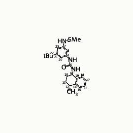 CSNc1cc(NC(=O)NC2CC[C@@H](C)c3ccccc32)cc(C(C)(C)C)c1